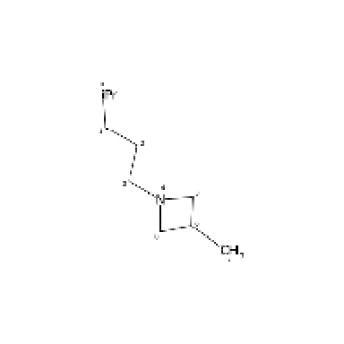 CC(C)CCCN1CC(C)C1